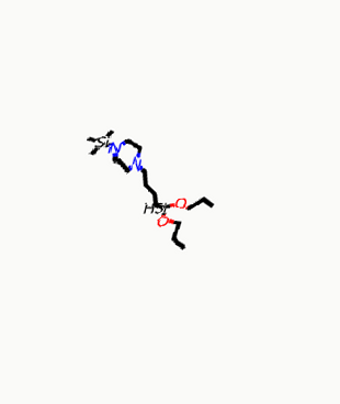 CCCO[SiH](CCCCN1CCN([Si](C)(C)C)CC1)OCCC